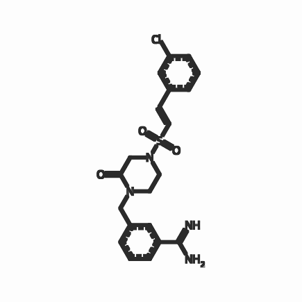 N=C(N)c1cccc(CN2CCN(S(=O)(=O)C=Cc3cccc(Cl)c3)CC2=O)c1